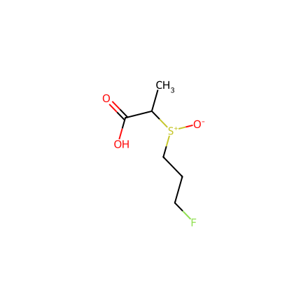 CC(C(=O)O)[S+]([O-])CCCF